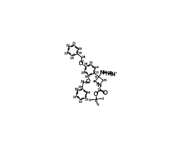 CC(C)(C)OC(=O)N1CC(N=[N+]=[N-])(c2ccc(OCc3ccccc3)cc2OCc2ccccc2)C1